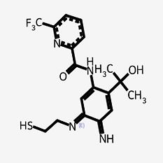 CC(C)(O)C1=CC(=N)/C(=N/CCS)C=C1NC(=O)c1cccc(C(F)(F)F)n1